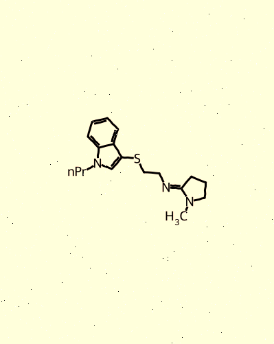 CCCn1cc(SCCN=C2CCCN2C)c2ccccc21